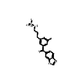 O=C(c1cc(F)cc(CCCN[SH](=O)=O)c1)c1ccc2ncoc2c1